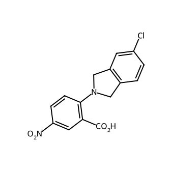 O=C(O)c1cc([N+](=O)[O-])ccc1N1Cc2ccc(Cl)cc2C1